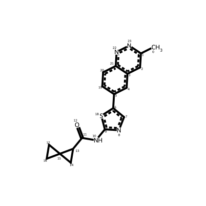 Cc1cc2cc(-c3cnc(NC(=O)C4CC45CC5)s3)ccc2nn1